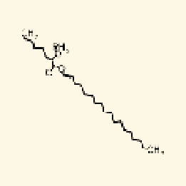 CCCCCCCCCCCCCCCCC=COC(=O)C(CCCCCC)OP